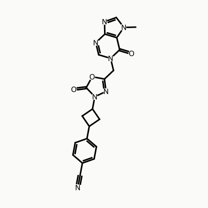 Cn1cnc2ncn(Cc3nn(C4CC(c5ccc(C#N)cc5)C4)c(=O)o3)c(=O)c21